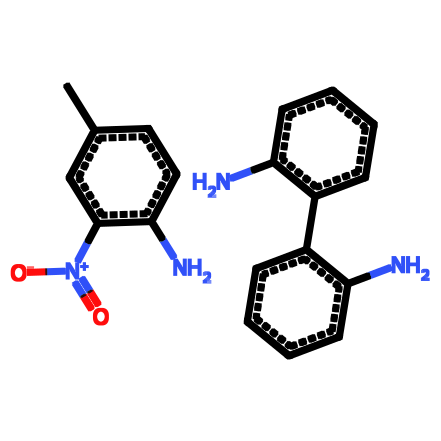 Cc1ccc(N)c([N+](=O)[O-])c1.Nc1ccccc1-c1ccccc1N